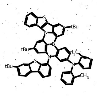 Cc1ccccc1N(c1ccc2c(c1)N(c1cccc3c1sc1cc(C(C)(C)C)ccc13)c1cc(C(C)(C)C)cc3c1B2c1cc(C(C)(C)C)cc2c4sc5ccccc5c4n-3c12)c1ccccc1C